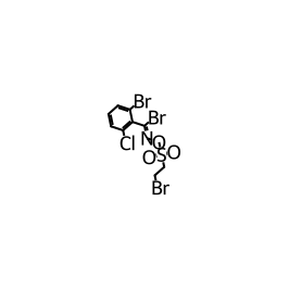 O=S(=O)(CCBr)ON=C(Br)c1c(Cl)cccc1Br